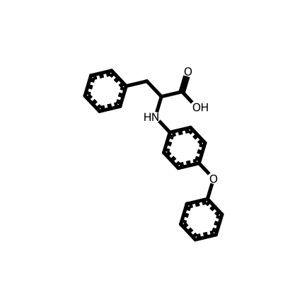 O=C(O)C(Cc1ccccc1)Nc1ccc(Oc2ccccc2)cc1